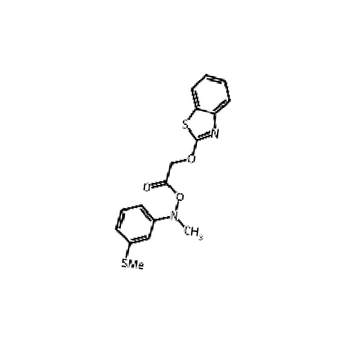 CSc1cccc(N(C)OC(=O)COc2nc3ccccc3s2)c1